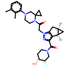 Cc1cccc(N2CCN(C(=O)Cn3nc(C(=O)N4CC[C@@H](O)[C@@H](F)C4)c4c3C[C@H]3C[C@@H]43)C3(CC3)C2)c1C